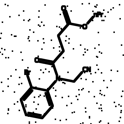 CCCOC(=O)CCC(=O)N(CC#N)c1ccccc1Br